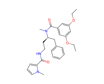 CCOc1cc(OCC)cc(C(=O)N(C)[C@H](CCNC(=O)c2cccn2C)Cc2ccccc2)c1